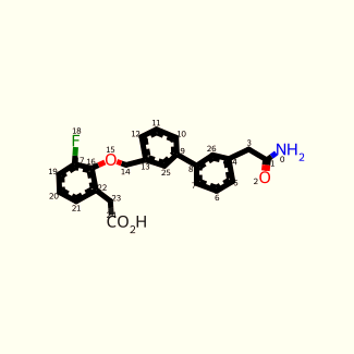 NC(=O)Cc1cccc(-c2cccc(COc3c(F)cccc3CC(=O)O)c2)c1